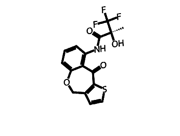 C[C@](O)(C(=O)Nc1cccc2c1C(=O)c1sccc1CO2)C(F)(F)F